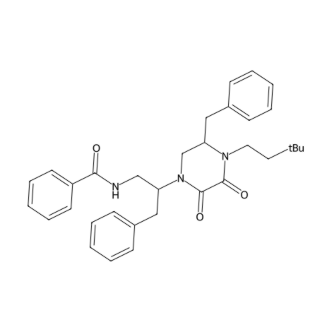 CC(C)(C)CCN1C(=O)C(=O)N(C(CNC(=O)c2ccccc2)Cc2ccccc2)CC1Cc1ccccc1